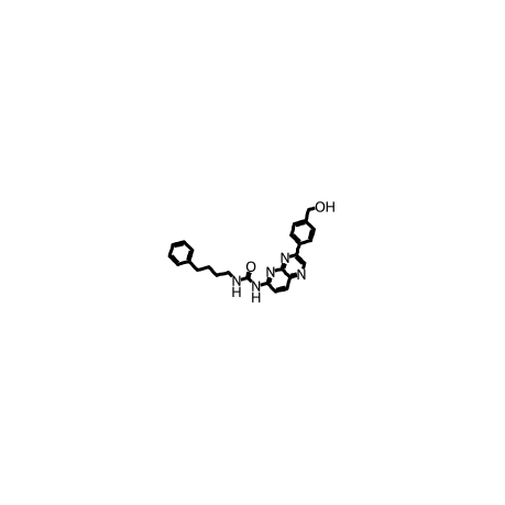 O=C(NCCCCc1ccccc1)Nc1ccc2ncc(-c3ccc(CO)cc3)nc2n1